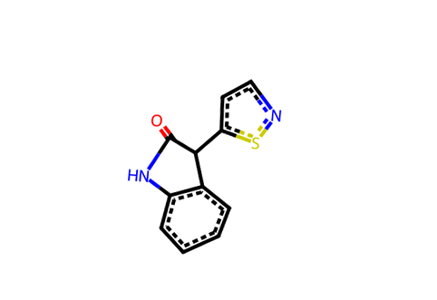 O=C1Nc2ccccc2C1c1ccns1